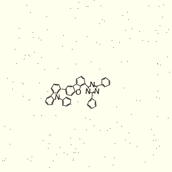 c1ccc(-c2nc(-c3ccccc3)nc(-c3cccc4c3oc3ccc(-c5cccc6c7ccccc7n(-c7ccccc7)c56)cc34)n2)cc1